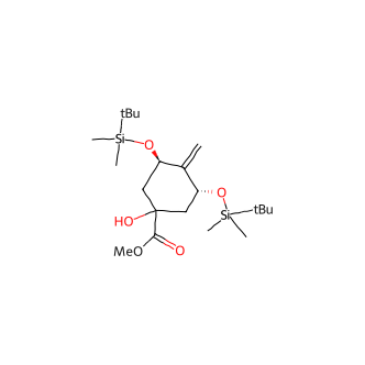 C=C1[C@H](O[Si](C)(C)C(C)(C)C)CC(O)(C(=O)OC)C[C@H]1O[Si](C)(C)C(C)(C)C